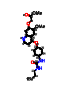 COC(=O)COc1cc2nccc(Oc3ccc(NC(=O)NCCC(C)(C)C)cc3)c2cc1OC